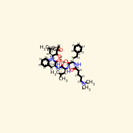 CC(C)C[C@H](NC(=O)[C@H](CCc1ccccc1)NC(=O)CCCCN(C)C)C(=O)N[C@@H](Cc1ccccc1)C(=O)N[C@@H](CC(C)C)C(=O)[C@@]1(C)CO1